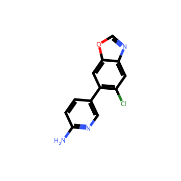 Nc1ccc(-c2cc3ocnc3cc2Cl)cn1